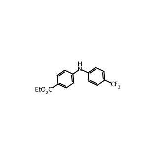 CCOC(=O)c1ccc(Nc2ccc(C(F)(F)F)cc2)cc1